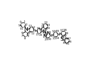 c1ccc(-n2c3ccccc3c3cc(-c4ccc5c(c4)c4ccccc4n5-c4nccc(-c5ccc(-c6cccc7c6sc6ccccc67)cc5)n4)ccc32)cc1